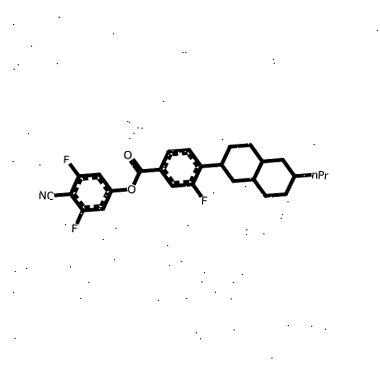 CCCC1CCC2CC(c3ccc(C(=O)Oc4cc(F)c(C#N)c(F)c4)cc3F)CCC2C1